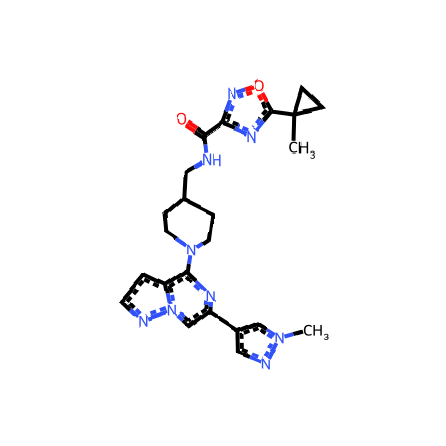 Cn1cc(-c2cn3nccc3c(N3CCC(CNC(=O)c4noc(C5(C)CC5)n4)CC3)n2)cn1